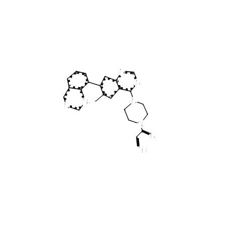 C=CC(=N)N1CCN(c2ncnc3cc(-c4cccc5cncnc45)c(Cl)cc23)CC1